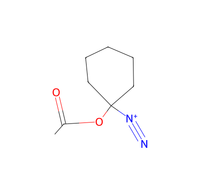 CC(=O)OC1([N+]#N)CCCCC1